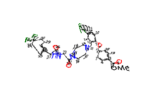 COC(=O)c1ccc(COc2ccc(F)cc2CN2CCN(C(=O)CNC(=O)CC3CCC(F)(F)CC3)CC2)cc1